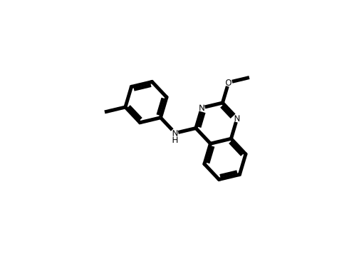 COc1nc(Nc2cccc(C)c2)c2ccccc2n1